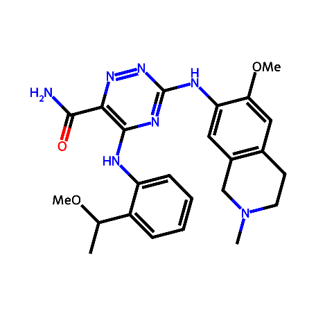 COc1cc2c(cc1Nc1nnc(C(N)=O)c(Nc3ccccc3C(C)OC)n1)CN(C)CC2